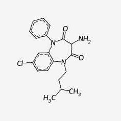 CC(C)CCN1C(=O)C(N)C(=O)N(c2ccccc2)c2cc(Cl)ccc21